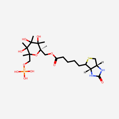 CC1(CO[PH](O)(O)O)O[C@](C)(COC(=O)CCCCC2SC[C@@H]3NC(=O)N[C@H]23)C(C)(O)C(C)(O)C1(C)O